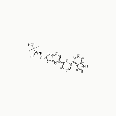 CC(C)(O)C(=O)NCc1cc2nc(N3CCOC(c4cccc5[nH]ncc45)C3)ncc2s1